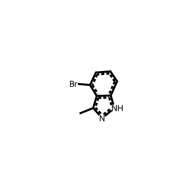 Cc1n[nH]c2cccc(Br)c12